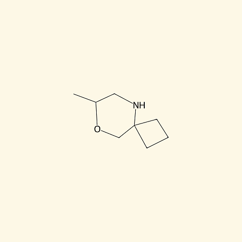 CC1CNC2(CCC2)CO1